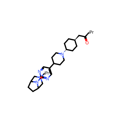 CC(C)C(=O)C[C@H]1CC[C@H](N2CCC(c3cnc(N4C5CCC4CN(C(C)C)C5)nc3)CC2)CC1